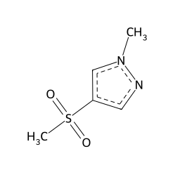 Cn1cc(S(C)(=O)=O)cn1